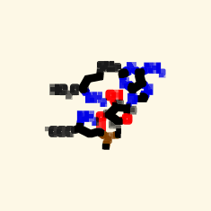 CSCC[C@H](N)C(=O)O.C[S+](CCC(N)C(=O)[O-])C[C@H]1O[C@@H](n2cnc3c(N)ncnc32)[C@H](O)[C@@H]1O